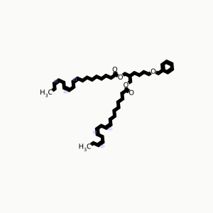 CC/C=C\C/C=C\C/C=C\CCCCCCCC(=O)OCC(CCCCOCc1ccccc1)COC(=O)CCCCCCC/C=C\C/C=C\C/C=C\CC